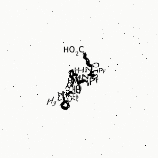 CCC(NC(=O)C1[C@H]2CCC[C@H]2CN1C(=O)[C@@H](NC(=O)[C@@H](NC(=O)CCCCC(=O)O)C(C)C)C(C)C)C(=O)C(=O)N[C@@H](C)c1ccccc1